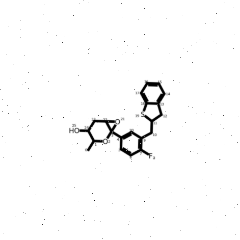 CC1OC2(c3ccc(F)c(CC4Cc5ccccc5S4)c3)OC2CC1O